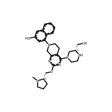 CN1CCC[C@H]1COc1nc2c(c(N3CCN[C@@H](CC#N)C3)n1)CCN(c1cc(O)cc3ccccc13)C2